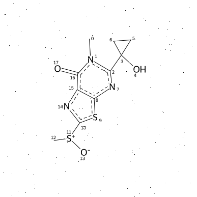 Cn1c(C2(O)CC2)nc2sc([S+](C)[O-])nc2c1=O